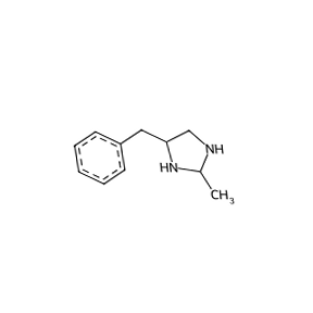 CC1NCC(Cc2ccccc2)N1